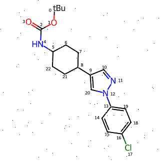 CC(C)(C)OC(=O)NC1CCC(c2cnn(-c3ccc(Cl)cc3)c2)CC1